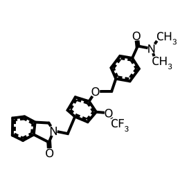 CN(C)C(=O)c1ccc(COc2ccc(CN3Cc4ccccc4C3=O)cc2OC(F)(F)F)cc1